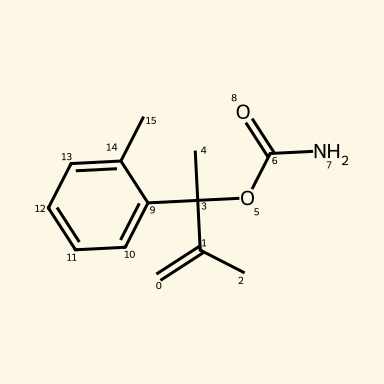 C=C(C)C(C)(OC(N)=O)c1ccccc1C